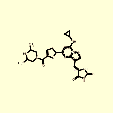 CC1CN(C(=O)C2=CCC(c3cc(NC4CC4)n4ncc(/C=C5\NC(=O)NC5=O)c4n3)S2)CC(C)N1